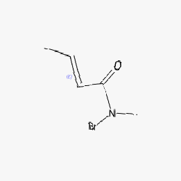 [CH2]N(Br)C(=O)/C=C/C